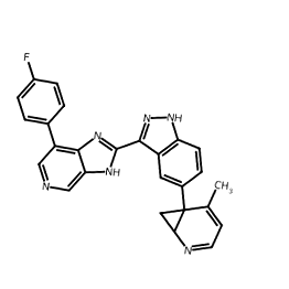 CC1=CC=NC2CC12c1ccc2[nH]nc(-c3nc4c(-c5ccc(F)cc5)cncc4[nH]3)c2c1